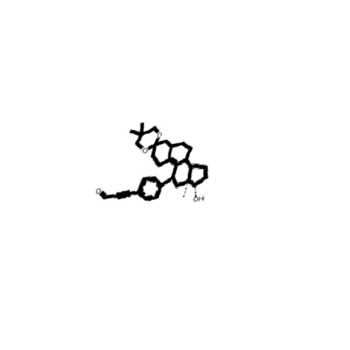 CC1(C)COC2(CCC3=C4C(c5ccc(C#CC=O)cc5)C[C@@]5(C)C(CC[C@@H]5O)C4CCC3C2)OC1